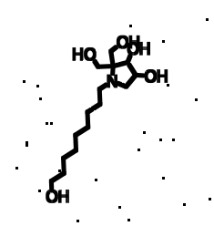 OCCCCCCCCCN1CC(O)C(O)C1(CO)CO